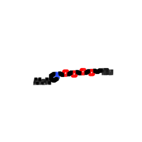 CCC(C)CCCOCCOCCOCCOCCN1CCC(NC)CC1